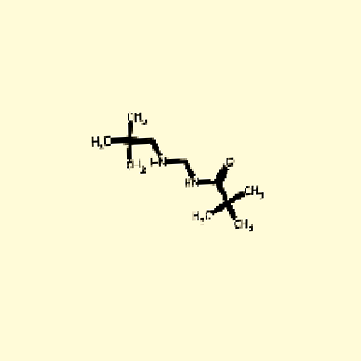 CC(C)(C)CNCNC(=O)C(C)(C)C